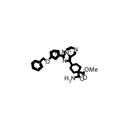 COC(=O)C1(C(N)=O)CCC(C2=C3C=NC=C[N+]3(N)C(c3cccc(OCc4ccccc4)c3)=N2)CC1